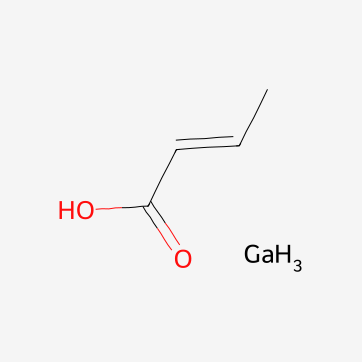 CC=CC(=O)O.[GaH3]